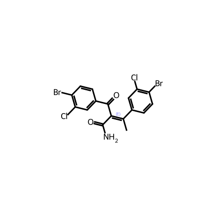 C/C(=C(\C(N)=O)C(=O)c1ccc(Br)c(Cl)c1)c1ccc(Br)c(Cl)c1